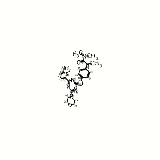 CC(C(=O)N(C)C)c1ccc(Oc2nc(-c3cnc(N)s3)nc(N3CCOCC3)n2)cc1